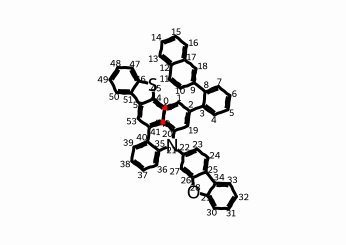 c1cc(-c2ccccc2-c2ccc3ccccc3c2)cc(N(c2ccc3c(c2)oc2ccccc23)c2ccccc2-c2ccc3sc4ccccc4c3c2)c1